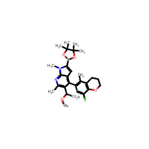 Cc1nc2c(cc(B3OC(C)(C)C(C)(C)O3)n2C)c(-c2cc(F)c3c(c2C)CCCO3)c1C(OC(C)(C)C)C(=O)O